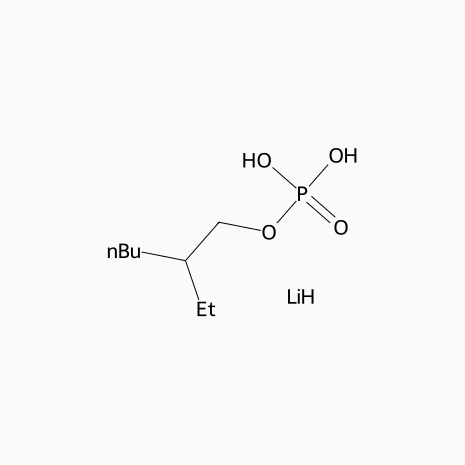 CCCCC(CC)COP(=O)(O)O.[LiH]